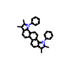 Cc1c(C)n(-c2ccccc2)c2c1ccc1c3ccc4c(C)c(C)n(-c5ccccc5)c4c3ccc12